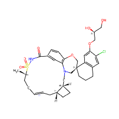 C[C@@H]1CC/C=C/C[C@H]2CC[C@H]2CN2C[C@@]3(CCCc4cc(Cl)c(OC[C@@H](O)CO)cc43)COc3ccc(cc32)C(=O)NS1(=O)=O